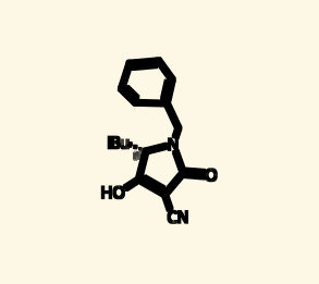 CCC(C)[C@H]1C(O)=C(C#N)C(=O)N1Cc1ccccc1